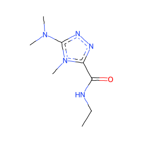 CCNC(=O)c1nnc(N(C)C)n1C